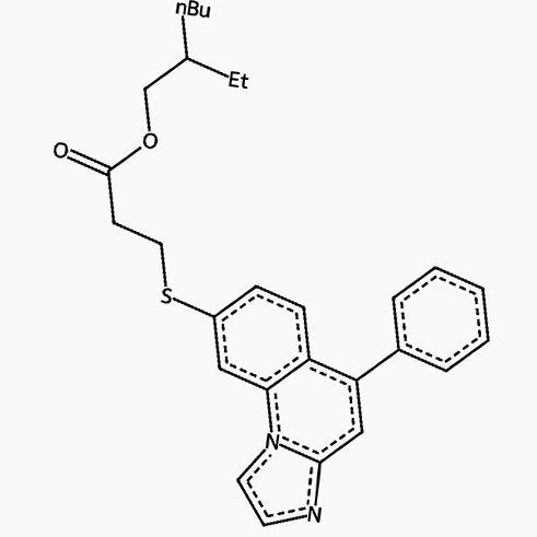 CCCCC(CC)COC(=O)CCSc1ccc2c(-c3ccccc3)cc3nccn3c2c1